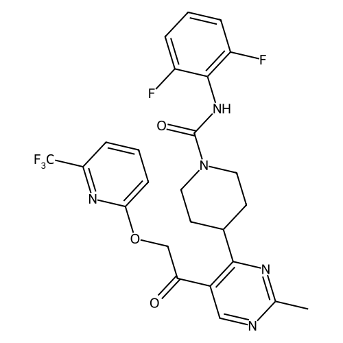 Cc1ncc(C(=O)COc2cccc(C(F)(F)F)n2)c(C2CCN(C(=O)Nc3c(F)cccc3F)CC2)n1